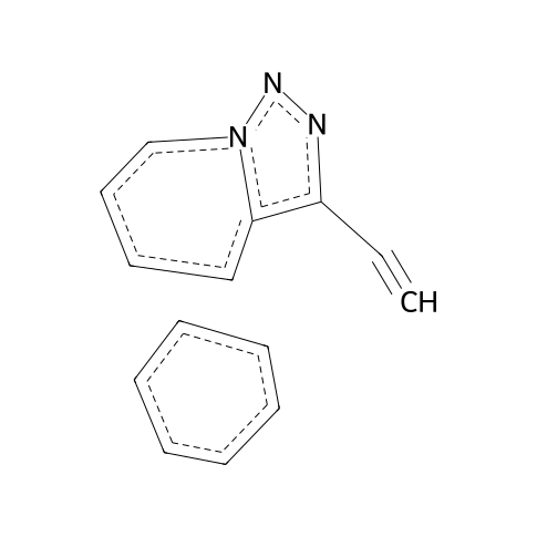 C#Cc1nnn2ccccc12.c1ccccc1